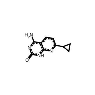 Nc1nc(=O)[nH]c2nc(C3CC3)ccc12